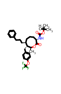 C[C@@H]1OC(=O)[C@@H](NC(=O)OC(C)(C)C)CCC[C@H](CCCc2ccccc2)[C@H]1Cc1ccc(OC(F)(F)F)cc1